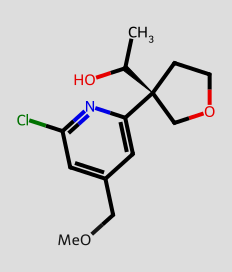 COCc1cc(Cl)nc([C@]2(C(C)O)CCOC2)c1